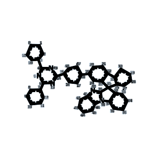 c1ccc(-c2nc(-c3ccccc3)nc(-c3ccc(-c4ccc5c(c4)C4(c6ccccc6-5)c5ccccc5-n5c4nc4ccccc45)cc3)n2)cc1